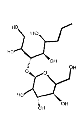 CCCC(O)[C@@H](O)[C@H](O[C@H]1OC(CO)[C@@H](O)[C@H](O)C1O)C(O)CO